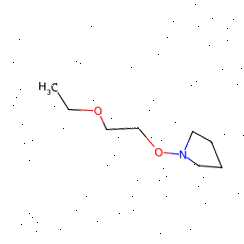 CCOCCON1CCCC1